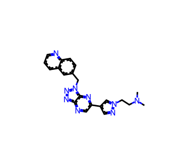 CN(C)CCn1cc(-c2cnc3nnn(Cc4ccc5ncccc5c4)c3n2)cn1